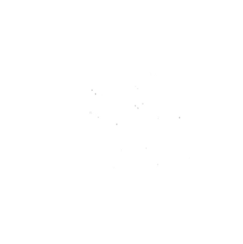 CSC12CC3=CC=CCC3N1C(=O)CNC2=O